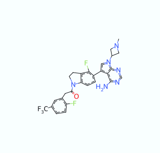 CN1CC(n2cc(-c3ccc4c(c3F)CCN4C(=O)Cc3cc(C(F)(F)F)ccc3F)c3c(N)ncnc32)C1